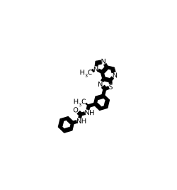 C[C@H](NC(=O)Nc1ccccc1)c1cccc(-c2nc3c(ncc4ncn(C)c43)s2)c1